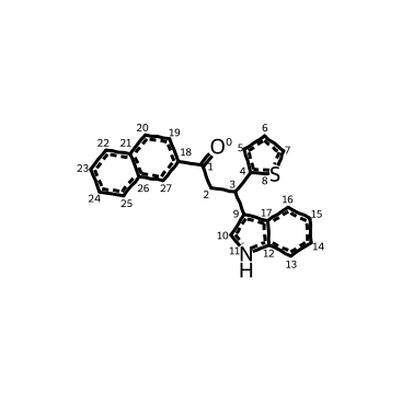 O=C(CC(c1cccs1)c1c[nH]c2ccccc12)c1ccc2ccccc2c1